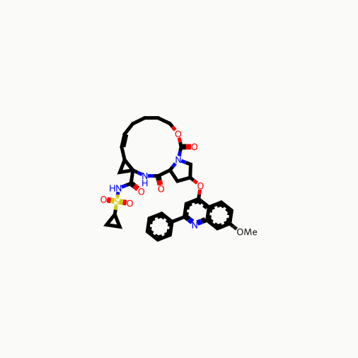 COc1ccc2c(OC3CC4C(=O)NC5(C(=O)NS(=O)(=O)C6CC6)CC5C=CCCCCOC(=O)N4C3)cc(-c3ccccc3)nc2c1